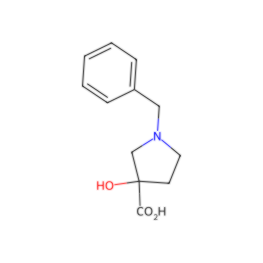 O=C(O)C1(O)CCN(Cc2ccccc2)C1